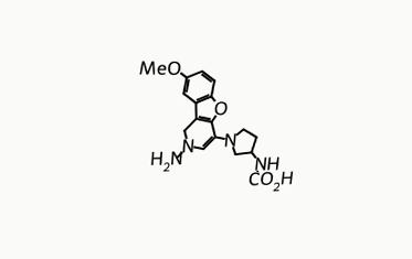 COc1ccc2oc3c(c2c1)CN(N)C=C3N1CCC(NC(=O)O)C1